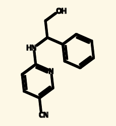 N#Cc1ccc(NC(CO)c2ccccc2)nc1